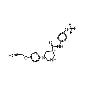 C#CCOc1ccc([C@H]2CNC[C@H](C(=O)Nc3ccc(OC(F)(F)F)cc3)C2)cc1